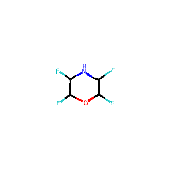 FC1NC(F)C(F)OC1F